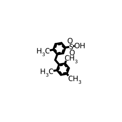 Cc1cc(C)c(Cc2cc(S(=O)(=O)O)ccc2C)c(C)c1